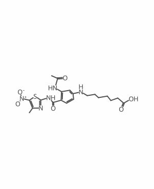 CC(=O)Nc1cc(NCCCCCCC(=O)O)ccc1C(=O)Nc1nc(C)c([N+](=O)[O-])s1